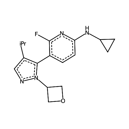 CC(C)c1cnn(C2COC2)c1-c1ccc(NC2CC2)nc1F